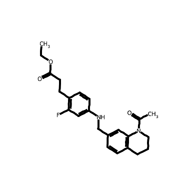 CCOC(=O)CCc1ccc(NCc2ccc3c(c2)N(C(C)=O)CCC3)cc1F